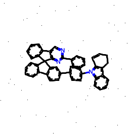 C1=Cc2c(c3ccccc3n2-c2ccc(-c3ccc4c(c3)C3(c5ccccc5-4)c4ccccc4-c4cnc(-c5ccccc5)nc43)cc2)CC1